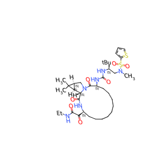 CCNC(=O)C(=O)[C@@H]1CCCCCCCCC[C@H](NC(=O)N[C@H](CN(C)S(=O)(=O)c2cccs2)C(C)(C)C)C(=O)N2C[C@H]3[C@@H]([C@H]2C(=O)N1)C3(C)C